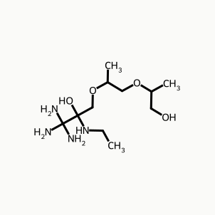 CCNC(O)(COC(C)COC(C)CO)C(N)(N)N